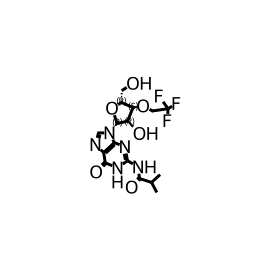 CC(C)C(=O)Nc1nc2c(ncn2[C@@H]2O[C@H](CO)[C@@H](OCC(F)(F)F)[C@H]2O)c(=O)[nH]1